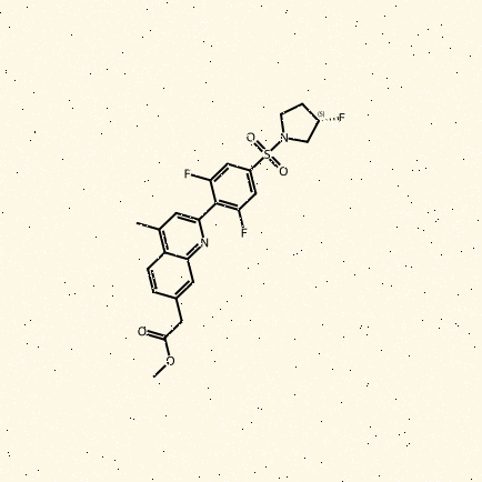 COC(=O)Cc1ccc2c(C)cc(-c3c(F)cc(S(=O)(=O)N4CC[C@H](F)C4)cc3F)nc2c1